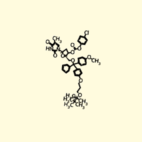 COc1ccc(C(OC[C@H]2O[C@@H](n3cc(C)c(=O)[nH]c3=O)CC2OC(=O)Oc2ccc(Cl)cc2)(c2ccccc2)c2ccc(OCCCO[Si](C)(C)C(C)(C)C)cc2)cc1